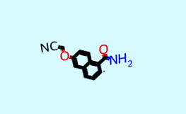 N#CCOc1ccc2c(C(N)=O)[c]ccc2c1